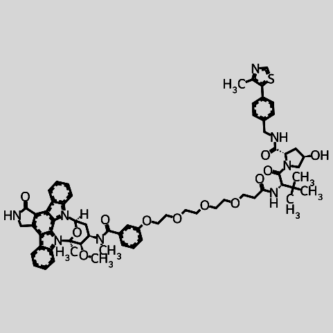 CO[C@@H]1[C@H](N(C)C(=O)c2cccc(OCCOCCOCCOCCC(=O)N[C@H](C(=O)N3C[C@H](O)C[C@H]3C(=O)NCc3ccc(-c4scnc4C)cc3)C(C)(C)C)c2)C[C@H]2O[C@]1(C)n1c3ccccc3c3c4c(c5c6ccccc6n2c5c31)C(=O)NC4